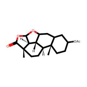 CC(=O)OC1CC[C@@]2(C)C(C1)CC1OC3OC(=O)[C@@]4(C)CC[C@H]2[C@@H]1[C@H]34